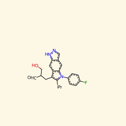 CC(C)c1c(CC(C=O)CO)c2cc3[nH]ncc3cc2n1-c1ccc(F)cc1